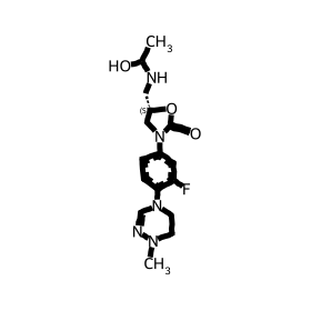 CC(O)NC[C@H]1CN(c2ccc(N3C=NN(C)CC3)c(F)c2)C(=O)O1